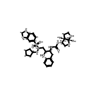 O=C(NC(Cc1ccccc1)C(O)CN(OC1CCCC1)S(=O)(=O)c1ccc2c(c1)OCO2)O[C@H]1CO[C@H]2OCC[C@H]21